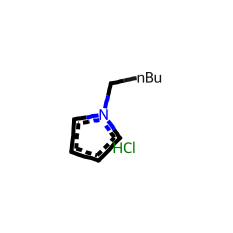 CCCCCn1cccc1.Cl